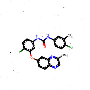 COc1cnc2ccc(Oc3cc(NC(=O)Nc4ccc(Cl)c(C(F)(F)F)c4)ccc3F)cc2n1